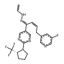 C=CN/N=C(\C=C/Cc1cncc(F)c1)c1cnc(N2CCC[C@@H]2C(F)(F)F)nc1